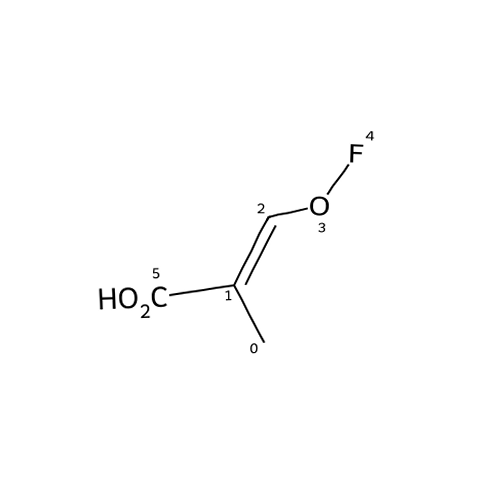 CC(=COF)C(=O)O